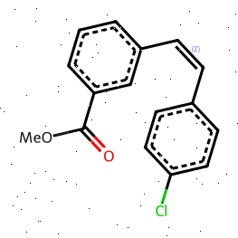 COC(=O)c1cccc(/C=C\c2ccc(Cl)cc2)c1